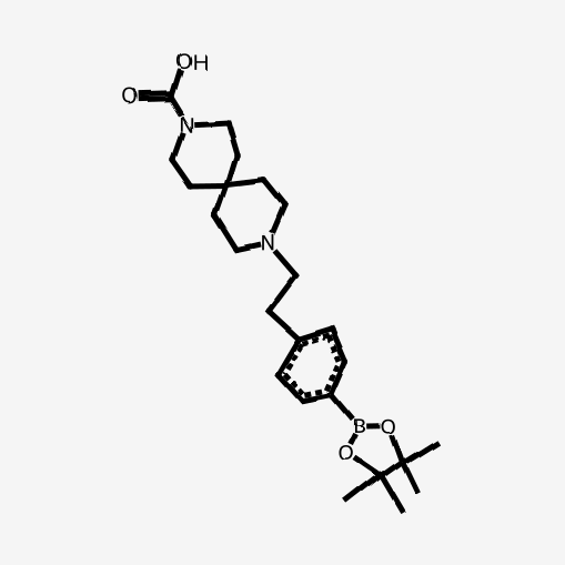 CC1(C)OB(c2ccc(CCN3CCC4(CC3)CCN(C(=O)O)CC4)cc2)OC1(C)C